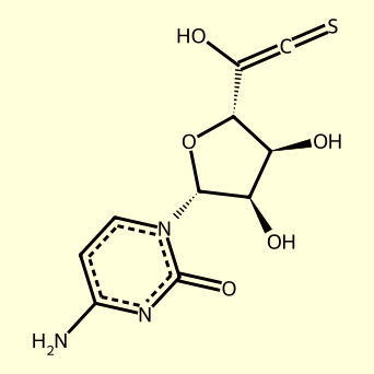 Nc1ccn([C@@H]2O[C@H](C(O)=C=S)[C@@H](O)[C@H]2O)c(=O)n1